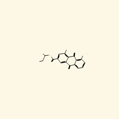 CCOC(=O)C(CC(C)C)NC(=O)c1cc(O)c2c(c1)C(=O)c1cccc(O)c1C2=O